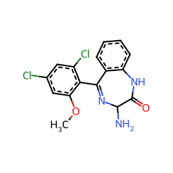 COc1cc(Cl)cc(Cl)c1C1=NC(N)C(=O)Nc2ccccc21